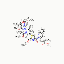 CCCO[C@H](C[C@H](C(C)C)N(CCC)C(=O)[C@@H](NC(=O)[C@H]([C@@H](C)C(C)C)N(C)C(=O)OC(C)(C)C)[C@@H](C)CC)c1nc(C(=O)N[C@@H](Cc2ccccc2)C[C@H](C)C(=O)OC)cs1